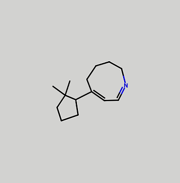 CC1(C)CCCC1/C1=C/C=N\CCCC1